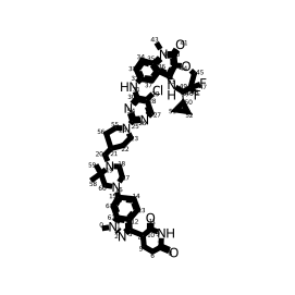 Cn1nc(C2CCC(=O)NC2=O)c2ccc(N3CCN(CC4CCN(c5ncc(Cl)c(Nc6ccc7c(c6)c6c(c(=O)n7C)OCC(F)(F)[C@H](C7CC7)N6)n5)CC4)C(C)(C)C3)cc21